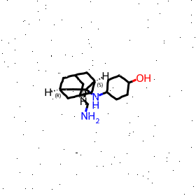 NC[C@]12CC3C[C@H](C1)[C@@H](NC1CCC(O)CC1)[C@@H](C3)C2